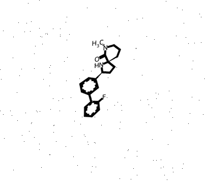 CN1CCC[C@]2(CC[C@@H](c3cccc(-c4ccccc4F)c3)N2)C1=O